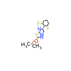 CC(C)COc1nn2cc(-c3c(F)cccc3F)nc2s1